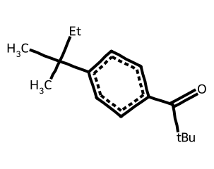 CCC(C)(C)c1ccc(C(=O)C(C)(C)C)cc1